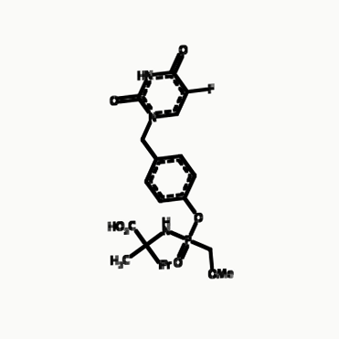 COCP(=O)(NC(C)(C(=O)O)C(C)C)Oc1ccc(Cn2cc(F)c(=O)[nH]c2=O)cc1